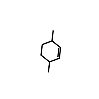 CC1[CH]CC(C)C=C1